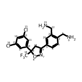 NCc1ccc(C2=NOC(c3cc(Cl)cc(Cl)c3)(C(F)(F)F)C2)cc1CN